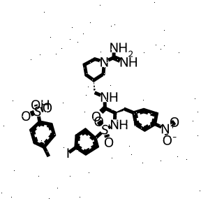 Cc1ccc(S(=O)(=O)O)cc1.N=C(N)N1CCC[C@@H](CNC(=O)[C@@H](Cc2ccc([N+](=O)[O-])cc2)NS(=O)(=O)c2ccc(I)cc2)C1